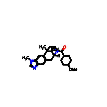 COC1CCC(C(=O)N2CC[C@@]3(C)c4cc5c(cc4C[C@@H]2C3(C)C)ncn5C)CC1